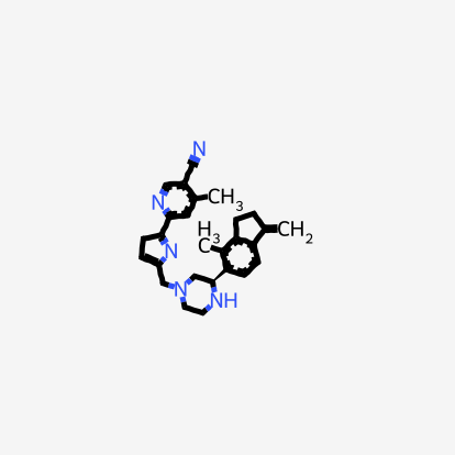 C=C1CCc2c1ccc([C@@H]1CN(CC3=CCC(c4cc(C)c(C#N)cn4)=N3)CCN1)c2C